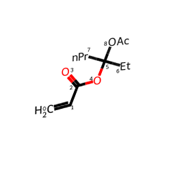 C=CC(=O)OC(CC)(CCC)OC(C)=O